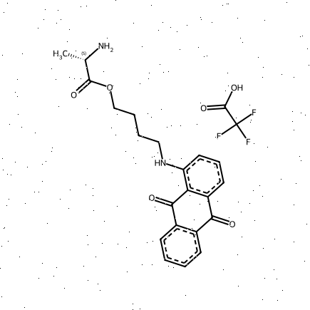 C[C@H](N)C(=O)OCCCCNc1cccc2c1C(=O)c1ccccc1C2=O.O=C(O)C(F)(F)F